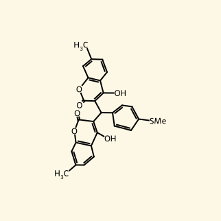 CSc1ccc(C(c2c(O)c3ccc(C)cc3oc2=O)c2c(O)c3ccc(C)cc3oc2=O)cc1